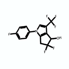 OC1c2c(C(F)(F)F)cn(-c3ccc(F)cc3)c2CC1(F)F